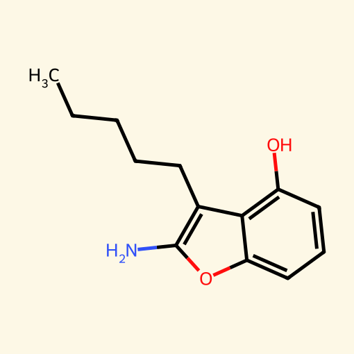 CCCCCc1c(N)oc2cccc(O)c12